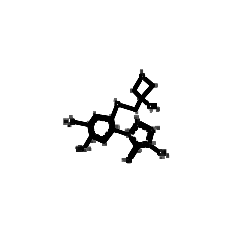 Bc1cc(OCC2(C)COC2)c(-n2nnn(C)c2=O)cc1C(C)(C)C